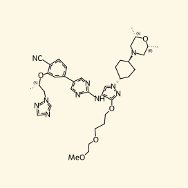 COCCOCCCOc1nn([C@H]2CC[C@H](N3C[C@@H](C)O[C@@H](C)C3)CC2)cc1Nc1ncc(-c2ccc(C#N)c(O[C@@H](C)Cn3cncn3)c2)cn1